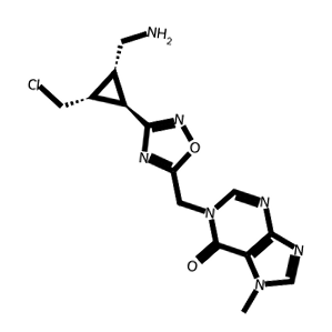 Cn1cnc2ncn(Cc3nc([C@H]4[C@H](CCl)[C@@H]4CN)no3)c(=O)c21